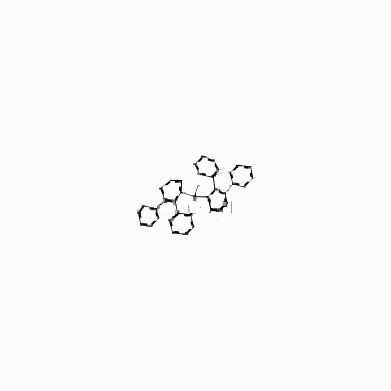 CC(C(=O)O)(c1cccc(-c2ccccc2)c1-c1ccccc1)c1cccc(-c2ccccc2)c1-c1ccccc1